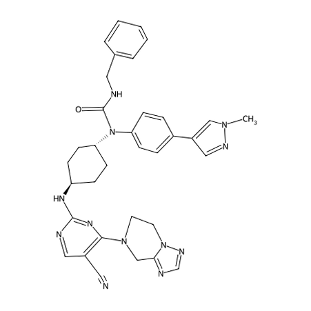 Cn1cc(-c2ccc(N(C(=O)NCc3ccccc3)[C@H]3CC[C@H](Nc4ncc(C#N)c(N5CCn6ncnc6C5)n4)CC3)cc2)cn1